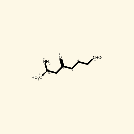 N[C@@H](CC(=O)CCC[C]=O)C(=O)O